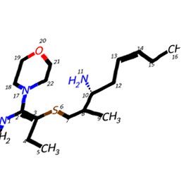 C=N/C(=C(\CC)SCC(C)[C@H](N)C/C=C\CC)N1CCOCC1